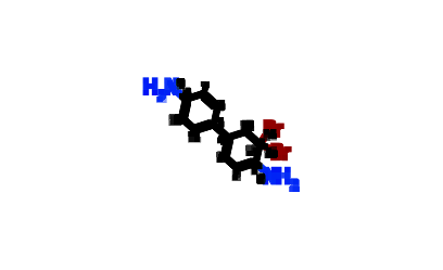 NC1=CC=C(c2ccc(N)cc2)CC1(Br)Br